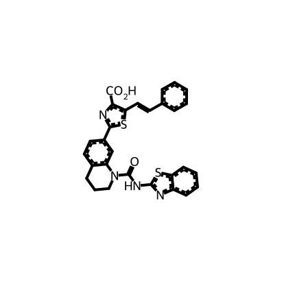 O=C(O)c1nc(-c2ccc3c(c2)N(C(=O)Nc2nc4ccccc4s2)CCC3)sc1C=Cc1ccccc1